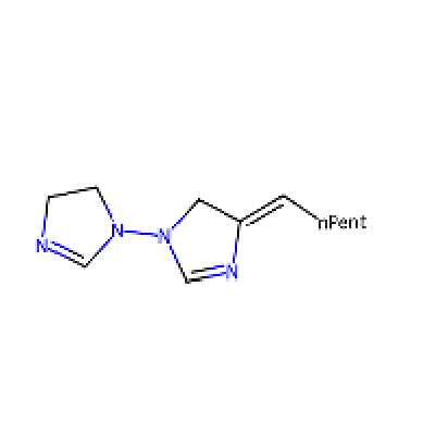 CCCCCC=C1CN(N2C=NCC2)C=N1